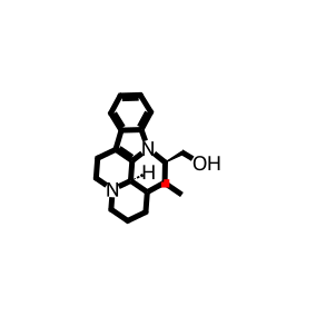 CC[C@@]12CCCN3CCc4c(n(c5ccccc45)[C@@H](CO)C1)[C@H]32